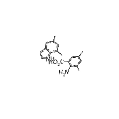 Cc1cc(C)c(N)c(C(=O)O)c1.Cc1cc(C)c2[nH]ccc2c1